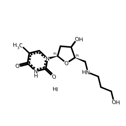 Cc1cn([C@H]2CC(O)[C@@H](CNCCCO)O2)c(=O)[nH]c1=O.I